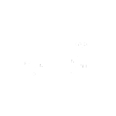 CCOC(=O)C(C)CC1(c2ccccc2)CNC(=O)N1c1ccc2c(c1)CCN(C(=O)C(F)(F)F)CC2